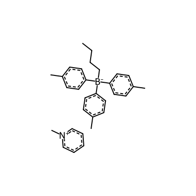 CCCC[B-](c1ccc(C)cc1)(c1ccc(C)cc1)c1ccc(C)cc1.C[n+]1ccccc1